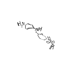 CC(C)S(=O)(=O)NC1CCC(CNc2ccc(N)cc2)CC1